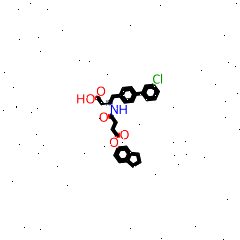 O=C(O)C[C@@H](Cc1ccc(-c2cccc(Cl)c2)cc1)NC(=O)CCC(=O)Oc1ccc2c(c1)CCC2